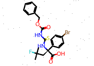 CC(C)(F)C[C@](NC(=S)NC(=O)OCc1ccccc1)(C(=O)O)c1ccc(Br)cc1